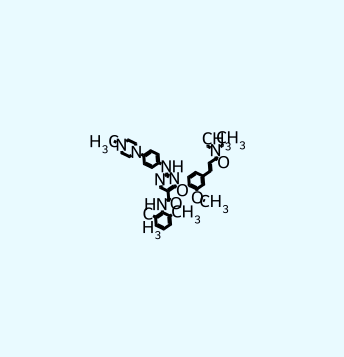 CCN(CC)C(=O)/C=C/c1ccc(Oc2nc(Nc3ccc(N4CCN(C)CC4)cc3)ncc2C(=O)Nc2c(C)cccc2C)c(OC)c1